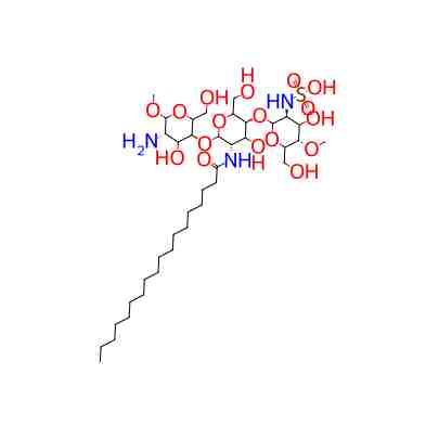 CCCCCCCCCCCCCCCCCC(=O)N[C@@H]1C(O[C@@H]2C(CO)OC(OC)[C@@H](N)C2O)OC(CO)[C@@H](OC2OC(CO)[C@@H](OC)C(O)[C@@H]2NS(=O)(=O)O)C1O